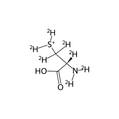 [2H]N([2H])[C@]([2H])(C(=O)O)C([2H])([2H])[S+]([2H])[2H]